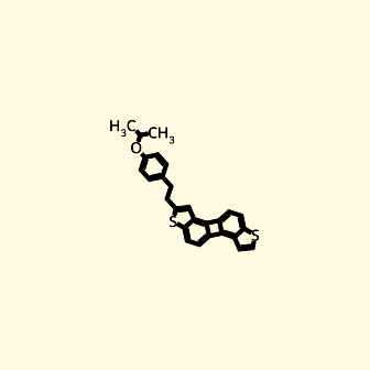 CC(C)Oc1ccc(CCc2cc3c4c(ccc3s2)-c2c-4ccc3sccc23)cc1